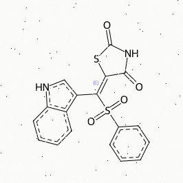 O=C1NC(=O)/C(=C(/c2c[nH]c3ccccc23)S(=O)(=O)c2ccccc2)S1